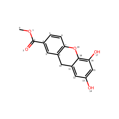 COC(=O)c1ccc2c(c1)Cc1cc(O)cc(O)c1O2